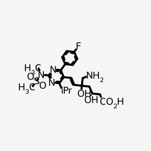 CC(C)c1nc(N(C)S(C)(=O)=O)nc(-c2ccc(F)cc2)c1/C=C/C(O)(CN)C[C@@H](O)CC(=O)O